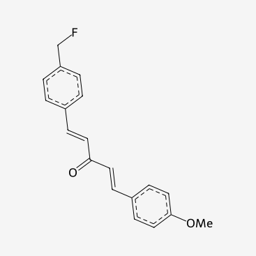 COc1ccc(/C=C/C(=O)/C=C/c2ccc(CF)cc2)cc1